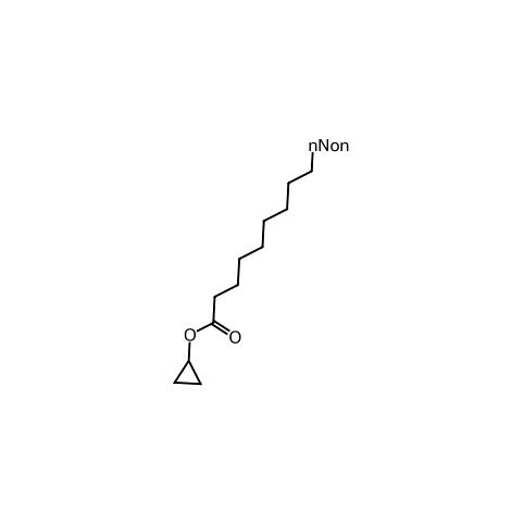 CCCCCCCCCCCCCCCCCC(=O)OC1CC1